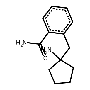 NC(=O)c1ccccc1CC1(N)CCCC1